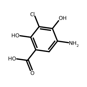 Nc1cc(C(=O)O)c(O)c(Cl)c1O